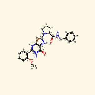 COc1ccccc1-c1nc2sc(N3CCCC3C(=O)NCc3ccccc3)nc2c(=O)[nH]1